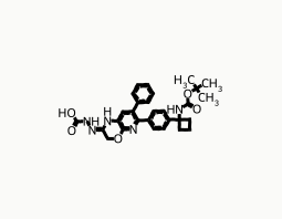 CC(C)(C)OC(=O)NC1(c2ccc(-c3nc4c(cc3-c3ccccc3)NC(=NNC(=O)O)CO4)cc2)CCC1